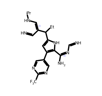 CCC(/C(C=N)=C/NC(C)C)c1cc(-c2cnc(C(F)(F)F)nc2)c(/C(N)=N\C=N)[nH]1